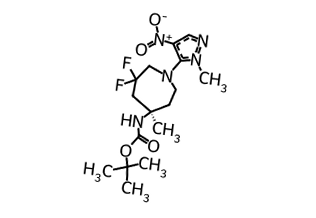 Cn1ncc([N+](=O)[O-])c1N1CC[C@@](C)(NC(=O)OC(C)(C)C)CC(F)(F)C1